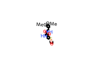 COc1ccc(CCNC(=O)c2c[nH]c3ccc(SB4CCOCC4)cc3c2=O)cc1OC